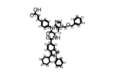 O=C(O)/C=C/c1ccc(NC(=O)[C@H](Cc2cncn2COCc2ccccc2)NC(=O)c2ccc3c(C4CCCCC4)n(-c4ccccc4)nc3c2)cc1